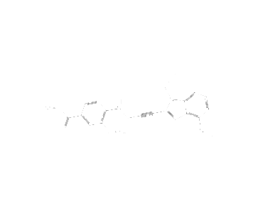 COC(=O)c1ccc(NCC#Cc2cc3c(N)cccc3n2CC(F)(F)F)c(OC)c1